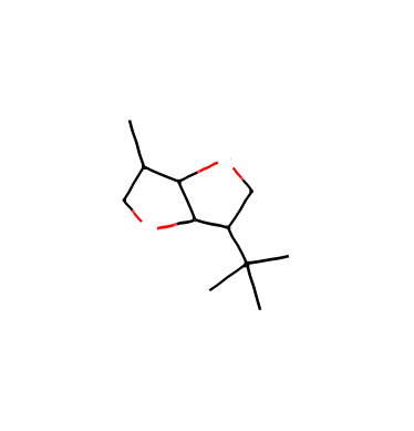 CC1COC2C1OCC2C(C)(C)C